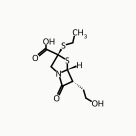 CCS[C@]1(C(=O)O)CN2C(=O)[C@@H](CCO)[C@H]2S1